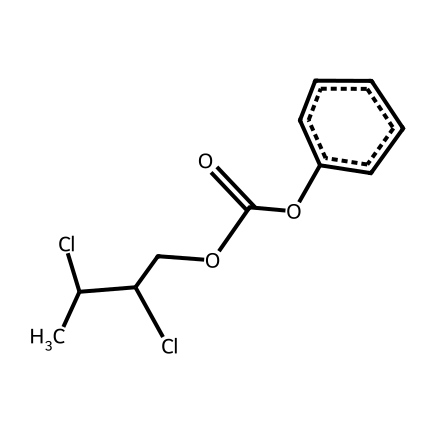 CC(Cl)C(Cl)COC(=O)Oc1ccccc1